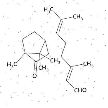 CC(C)=CCC/C(C)=C/C=O.CC12CCC(CC1=O)C2(C)C